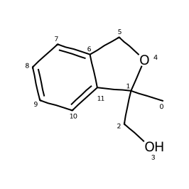 CC1(CO)OCc2ccccc21